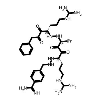 CC(C)[C@H](NN[C@@H](CCCNC(N)N)C(=O)C(=O)Cc1ccccc1)C(=O)C(=O)[C@H](CCCNC(N)N)NNCc1ccc(C(=N)N)cc1